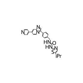 CC(C)c1cnc(NC(=O)NCc2ccc(-c3cnc4cc(-c5ccncc5)ccn34)cc2)s1